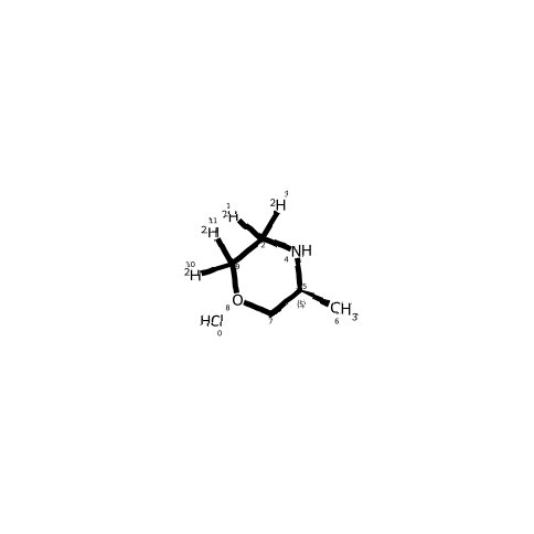 Cl.[2H]C1([2H])N[C@@H](C)COC1([2H])[2H]